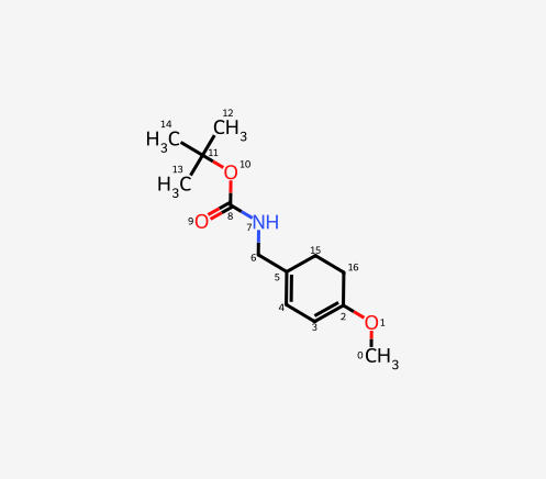 COC1=CC=C(CNC(=O)OC(C)(C)C)CC1